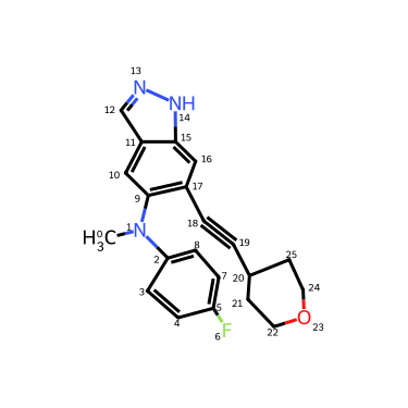 CN(c1ccc(F)cc1)c1cc2cn[nH]c2cc1C#CC1CCOCC1